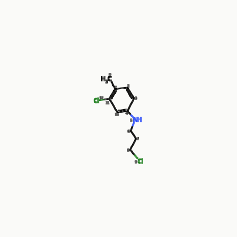 Cc1ccc(NCCCCl)cc1Cl